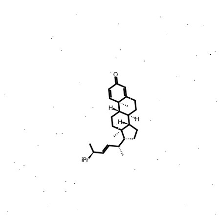 CC(C)[C@@H](C)/C=C/[C@@H](C)[C@H]1CC[C@H]2[C@@H]3CCC4=CC(=O)C=C[C@]4(C)[C@H]3CC[C@]12C